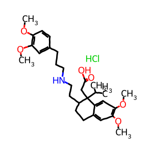 COc1ccc(CCCNCCC2CCc3cc(OC)c(OC)cc3C2(CC(=O)O)C(C)C)cc1OC.Cl